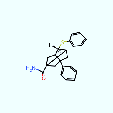 NC(=O)C12CC3[C@H](Sc4ccccc4)C1CC3(c1ccccc1)C2